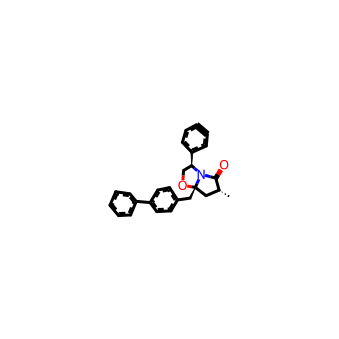 C[C@@H]1C[C@]2(Cc3ccc(-c4ccccc4)cc3)OC[C@@H](c3cc#ccc3)N2C1=O